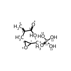 C=C(C)C(=O)O.CC1CO1.O=P(O)(O)O